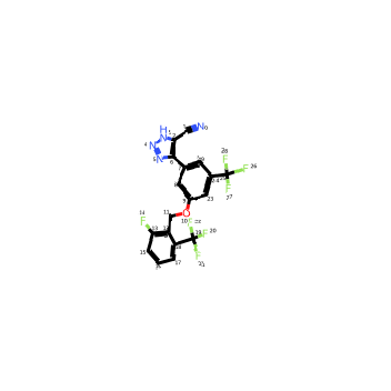 N#Cc1[nH]nnc1-c1cc(OCc2c(F)cccc2C(F)(F)F)cc(C(F)(F)F)c1